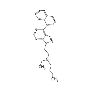 CCCCN(CC)CCn1ncc2c(-c3cncc4ccccc34)ncnc21